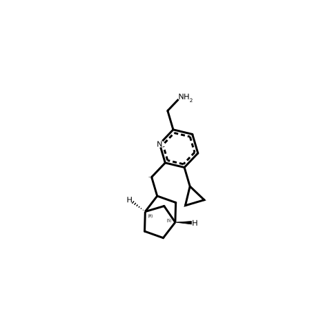 NCc1ccc(C2CC2)c([CH]C2C[C@@H]3CC[C@@H]2C3)n1